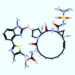 Cc1sc(-c2cccc3c2nc(O[C@@H]2C[C@H]4C(=O)N[C@]5(C(=O)NS(=O)(=O)N(C)C)C[C@H]5/C=C\CCCCC[C@H](NC(=O)OC(C)(C)C)C(=O)N4C2)n3C(C)C)nc1C(C)C